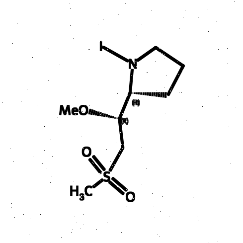 CO[C@@H](CS(C)(=O)=O)[C@H]1CCCN1I